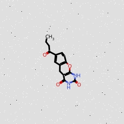 CCCC(=O)c1ccc2c(c1)Cc1c([nH]c(=O)[nH]c1=O)O2